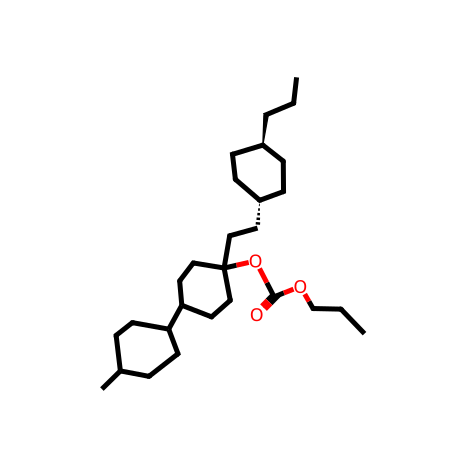 CCCOC(=O)OC1(CC[C@H]2CC[C@H](CCC)CC2)CCC(C2CCC(C)CC2)CC1